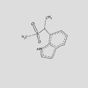 C[C](c1cccc2cc[nH]c12)S(C)(=O)=O